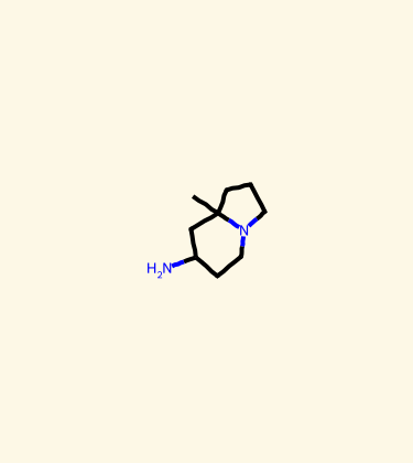 CC12CCCN1CCC(N)C2